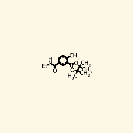 CCNC(=O)c1ccc(C)c(B2OC(C)(C)C(C)(C)O2)c1